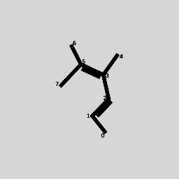 C/C=C/C(C)=C(C)C